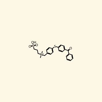 C[N+](C)(CCCS(=O)(=O)O)Cc1ccc(Sc2ccc(C(=O)c3ccccc3)cc2)cc1